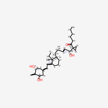 C=C1[C@H](O)CC(=C/C=C2\CCC[C@]3(C)[C@@H]([C@H](C)/C=C/[C@@H](O)C4(C(=O)CCCCC)CC4)CC[C@@H]23)C[C@H]1O